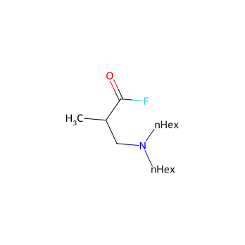 CCCCCCN(CCCCCC)CC(C)C(=O)F